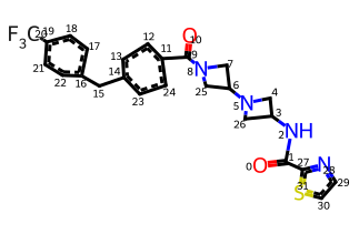 O=C(NC1CN(C2CN(C(=O)c3ccc(Cc4ccc(C(F)(F)F)cc4)cc3)C2)C1)c1nccs1